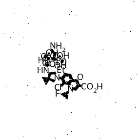 CCc1cc2c(=O)c(C(=O)O)cn(C3C[C@@H]3F)c2c(Cl)c1N1C[C@@H](NC(=O)OC(CCN)(P(=O)(O)O)P(=O)(O)O)C2(CC2)C1